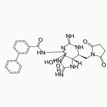 N=C1N[C@H]2[C@H](CN3C(=O)CCC3=O)NC(=N)N3CC(NC(=O)c4cccc(-c5ccccc5)c4)C(O)(O)C23N1